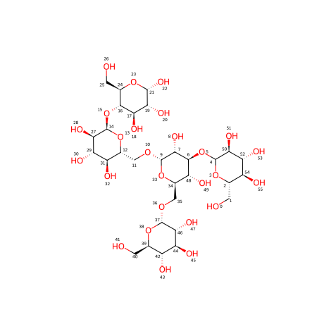 OC[C@@H]1OC(O[C@@H]2[C@@H](O)[C@@H](OC[C@H]3O[C@H](O[C@H]4[C@H](O)[C@@H](O)[C@@H](O)O[C@@H]4CO)[C@H](O)[C@@H](O)[C@@H]3O)O[C@H](CO[C@H]3O[C@H](CO)[C@@H](O)[C@H](O)[C@H]3O)[C@H]2O)[C@@H](O)[C@H](O)[C@H]1O